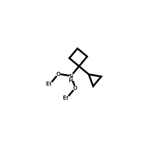 CCO[SiH](OCC)C1(C2CC2)CCC1